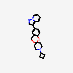 c1ccn2ncc(-c3ccc4c(c3)COC3(CCN(C5CCC5)CC3)O4)c2c1